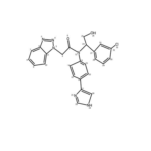 O=C(Cn1nnc2ccccc21)N(c1ccc(-c2c[nH]cn2)cc1)C(CO)c1cccc(Cl)c1